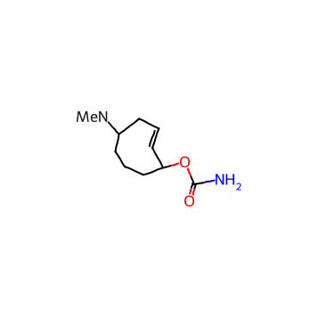 CNC1C/C=C/C(OC(N)=O)CCC1